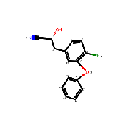 N#C[C@H](O)Cc1ccc(F)c(Oc2ccccc2)c1